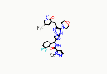 CCn1nccc1C(=O)N[C@H](c1cn2nc(CC3C[C@@H](C(F)(F)F)CNC3=O)c(N3CCOCC3)nc2n1)[C@H]1CCCC(F)(F)C1